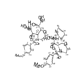 COc1ccc(S(=O)(=O)N2CCOC(C(=O)NO)C2C(=O)NO)cc1.COc1ccc(S(=O)(=O)N2CCO[C@@H](c3cccnc3)[C@@H]2C(=O)NO)cc1